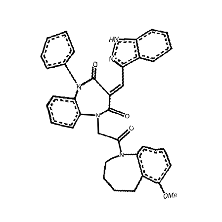 COc1cccc2c1CCCCN2C(=O)CN1C(=O)C(=Cc2n[nH]c3ccccc23)C(=O)N(c2ccccc2)c2ccccc21